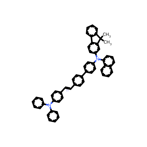 CC1(C)c2ccccc2-c2ccc(N(c3ccc(-c4ccc(/C=C/c5ccc(N(c6ccccc6)c6ccccc6)cc5)cc4)cc3)c3cccc4ccccc34)cc21